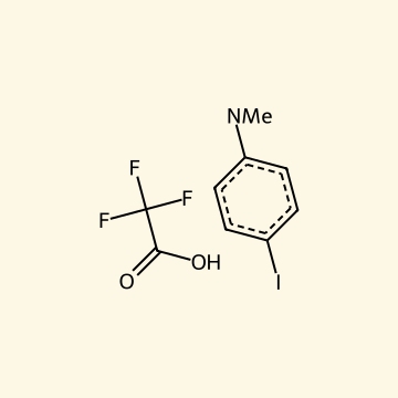 CNc1ccc(I)cc1.O=C(O)C(F)(F)F